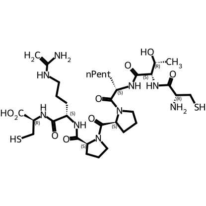 C=C(N)NCCC[C@H](NC(=O)[C@@H]1CCCN1C(=O)[C@@H]1CCCN1C(=O)[C@H](CCCCC)NC(=O)[C@@H](NC(=O)[C@@H](N)CS)[C@@H](C)O)C(=O)N[C@@H](CS)C(=O)O